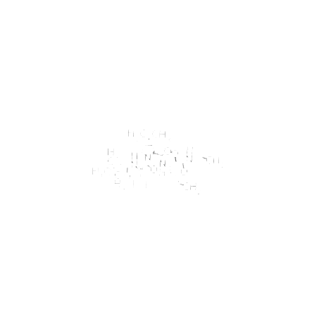 C=CCCC(NC(=O)[C@@H]1C2C(CN1C(=O)[C@@H](NC(=O)CC(C)(C)C)C1CCCCC1)C2(C)C)C(=O)C(=O)NCC=C